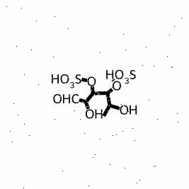 CC(O)C(OS(=O)(=O)O)C(OS(=O)(=O)O)C(O)C=O